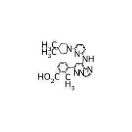 Cc1c(C(=O)O)cccc1-c1cc(Nc2cccc(N3CCC(C)(C)CC3)n2)c2nccn2n1